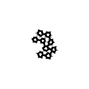 [c]1ccc(-c2cccc(-c3ccccc3)c2)c(-c2cccc(-c3cccc(-c4ccccc4)c3)c2)c1-c1ccccc1-c1cccc(-c2ccccc2)c1